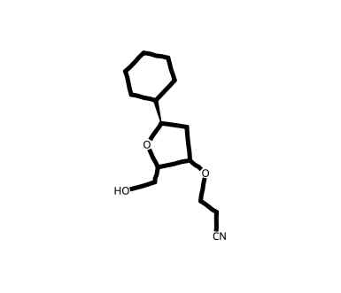 N#CCCOC1C[C@H](C2CCCCC2)OC1CO